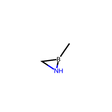 CB1CN1